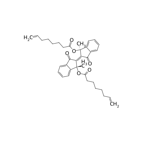 C=CCCCCCC(=O)O[C@@]1(C)/C(=C2\C(=O)c3ccccc3[C@]2(C)OC(=O)CCCCCC=C)C(=O)c2ccccc21